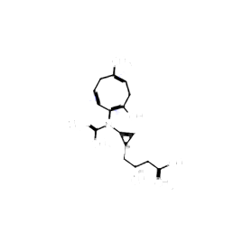 C=C(C)C[C@H](C)C[C@@H]1C=C1N(C(=C)C)C1=C(\C)C/C=C(/C)C/C=C\1